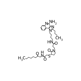 CCCCCCC(=O)CNC(=O)CSC1CCN(CCC(=O)NCCCCn2c(CCCC)nc3c(N)nc4ccccc4c32)C1=O